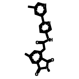 Cc1cncc(-c2ccc(NC(=O)Cc3cc(C)cc4c3C(=O)N(C)C4=O)cn2)c1